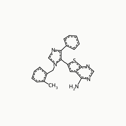 Cc1ccccc1Cn1cnc(-c2ccccc2)c1-c1cc2c(N)ncnc2s1